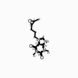 CC1OC1CCCn1cnc2c1c(=O)n(C)c(=O)n2C